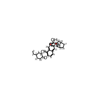 CCC1CCC(Oc2ccc3cc(CN4C5CCC4CC(C(=O)O)C5)ncc3c2Cl)CC1